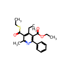 CCOC(=O)c1c(-c2ccccc2)nc(C)c(C(=O)SCC)c1CC